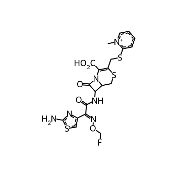 C[n+]1ccccc1SCC1=C(C(=O)O)N2C(=O)C(NC(=O)C(=NOCF)c3csc(N)n3)C2CS1